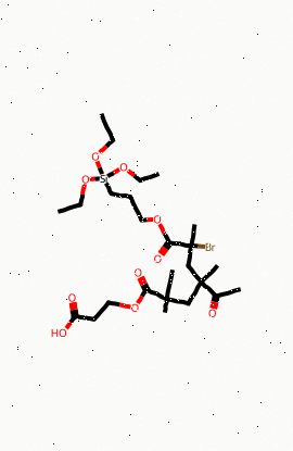 CCO[Si](CCCOC(=O)C(C)(Br)CC(C)(CC(C)(C)C(=O)OCCC(=O)O)C(C)=O)(OCC)OCC